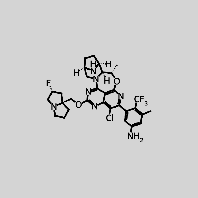 Cc1cc(N)cc(-c2nc3c4c(nc(OC[C@@]56CCCN5C[C@H](F)C6)nc4c2Cl)N2C[C@H]4CC[C@H](N4)[C@H]2[C@H](C)O3)c1C(F)(F)F